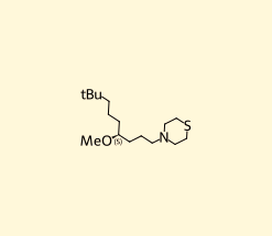 CO[C@H](CCCN1CCSCC1)CCCC(C)(C)C